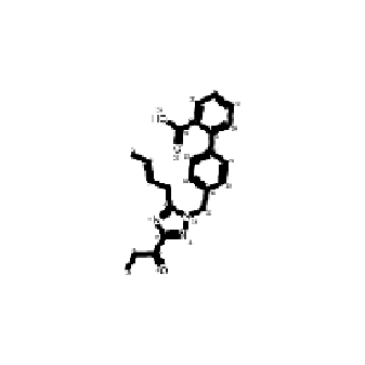 CC=CCc1nc(C(=O)CC)nn1Cc1ccc(-c2ccccc2C(=O)O)cc1